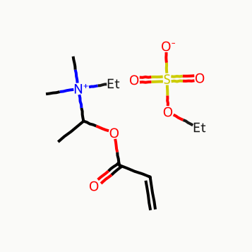 C=CC(=O)OC(C)[N+](C)(C)CC.CCOS(=O)(=O)[O-]